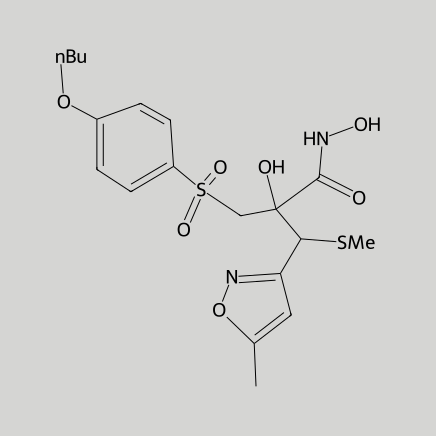 CCCCOc1ccc(S(=O)(=O)CC(O)(C(=O)NO)C(SC)c2cc(C)on2)cc1